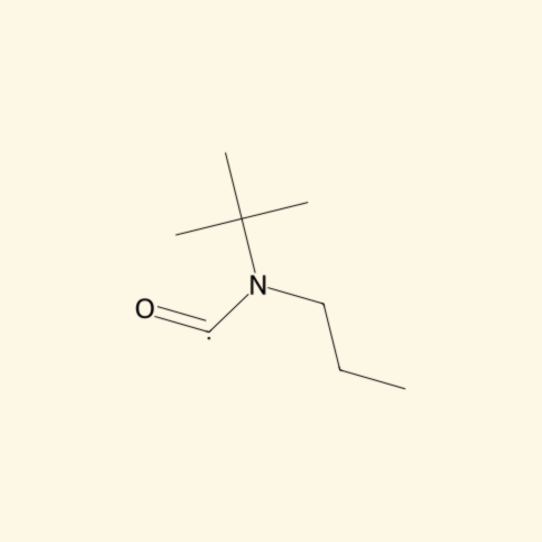 CCCN([C]=O)C(C)(C)C